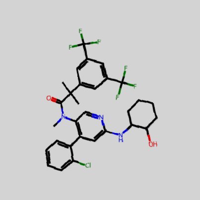 CN(C(=O)C(C)(C)c1cc(C(F)(F)F)cc(C(F)(F)F)c1)c1cnc(NC2CCCCC2O)cc1-c1ccccc1Cl